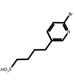 O=S(=O)(O)CCCCc1ccc(Br)nc1